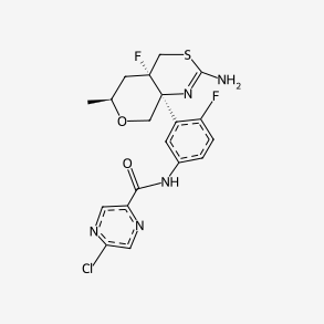 C[C@H]1C[C@@]2(F)CSC(N)=N[C@@]2(c2cc(NC(=O)c3cnc(Cl)cn3)ccc2F)CO1